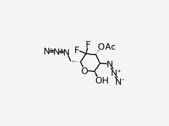 CC(=O)O[C@@H]1C(N=[N+]=[N-])[C@@H](O)O[C@H](CN=[N+]=[N-])C1(F)F